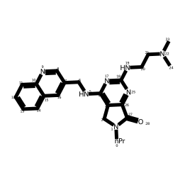 CCCN1Cc2c(NCc3cnc4ccccc4c3)nc(NCCN(C)C)nc2C1=O